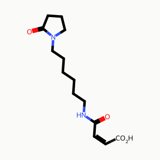 O=C(O)/C=C\C(=O)NCCCCCCN1CCCC1=O